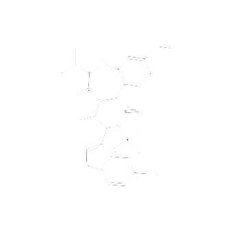 COc1ccc2c(c1)OC(C(C)C)C(=O)N(C(C)Cc1c[nH]c3ccc(F)cc13)C2C(=O)NC(C)(C)C